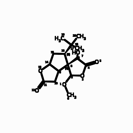 COC1OC(=O)C(O)[C@]12C1CC(=O)OC1C[C@H]2C(C)(C)C